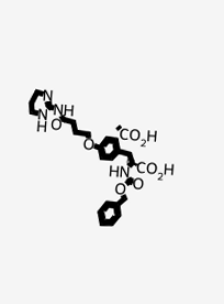 CC(=O)O.O=C(CCCOc1ccc(C[C@H](NC(=O)OCc2ccccc2)C(=O)O)cc1)NC1=NCCCN1